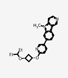 CCC(CC)O[C@H]1C[C@H](Oc2ccc(-c3ccc4c5cnccc5n(C)c4c3)cn2)C1